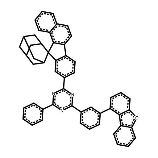 c1ccc(-c2nc(-c3cccc(-c4cccc5oc6ccccc6c45)c3)nc(-c3ccc4c(c3)C3(c5c-4ccc4ccccc54)C4CC5CC(C4)CC3C5)n2)cc1